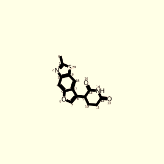 Cc1nc2cc3occ(C4CCC(=O)NC4=O)c3cc2s1